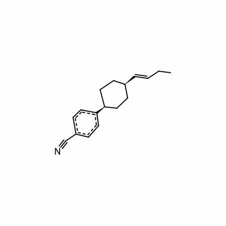 CCC=C[C@H]1CC[C@@H](c2ccc(C#N)cc2)CC1